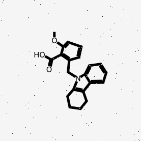 COc1cccc(Cn2c3c(c4ccccc42)CCCC3)c1C(=O)O